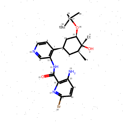 CC[C@@]1(O)[C@@H](C)C[C@@H](c2ccncc2NC(=O)c2nc(Br)ccc2N)C[C@H]1O[Si](C)(C)C(C)(C)C